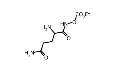 CCOC(=O)ONC(=O)C(N)CCC(N)=O